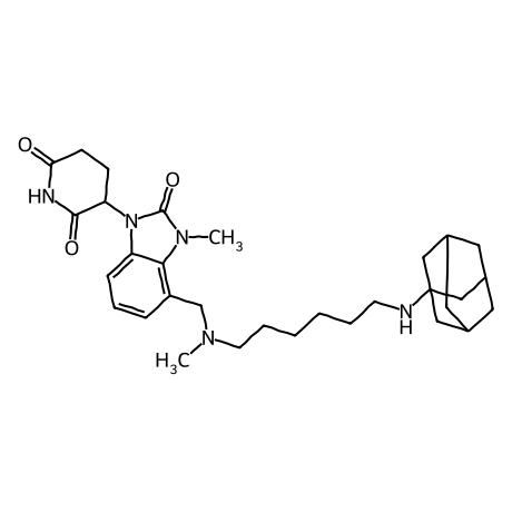 CN(CCCCCCNC12CC3CC(CC(C3)C1)C2)Cc1cccc2c1n(C)c(=O)n2C1CCC(=O)NC1=O